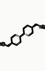 CCCCCCCCCC[C@H]1CC[C@H]([C@H]2CC[C@H](COC)CC2)CC1